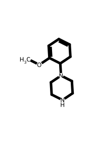 COC1=CC=CCC1N1CCNCC1